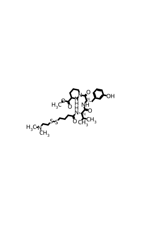 COC(=O)C1CCCN(C(=O)[C@H](Cc2cccc(O)c2)NC(=O)[C@@H](NC(=O)CCCSSCCN(C)C)C(C)C)N1